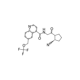 N#C[C@@H]1CCCC1C(=O)CNC(=O)c1ccnc2ccc(COC(F)(F)F)cc12